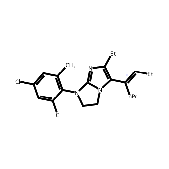 CC/C=C(\CCC)c1c(CC)nc2n1CCN2c1c(C)cc(Cl)cc1Cl